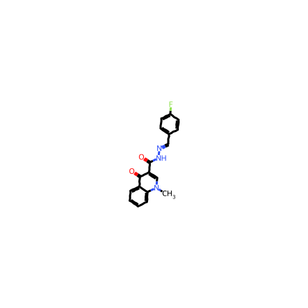 Cn1cc(C(=O)NN=Cc2ccc(F)cc2)c(=O)c2ccccc21